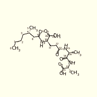 CCCC[C@H](C)CC(=O)N[C@H](CCC(=O)N[C@@H](C)C(=O)N[C@H](C)C(=O)O)C(=O)O